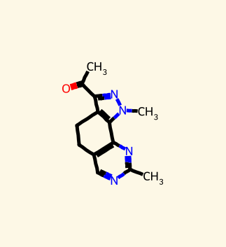 CC(=O)c1nn(C)c2c1CCc1cnc(C)nc1-2